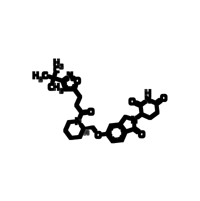 CC(C)(C)c1cc(CCC(=O)N2CCCC[C@@H]2COc2ccc3c(c2)CN(C2CCC(=O)NC2=O)C3=O)on1